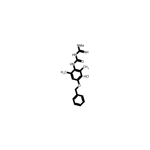 CNC(=N)NC(=O)Nc1c(C)cc(OCc2ccccc2)cc1C.Cl